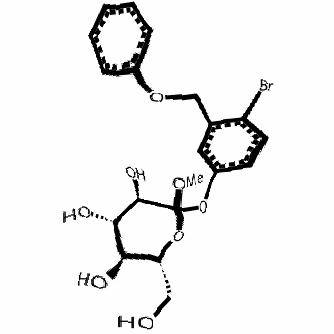 COC1(Oc2ccc(Br)c(COc3ccccc3)c2)O[C@H](CO)[C@@H](O)[C@H](O)[C@H]1O